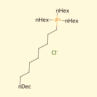 CCCCCCCCCCCCCCCCCC[P+](CCCCCC)(CCCCCC)CCCCCC.[Cl-]